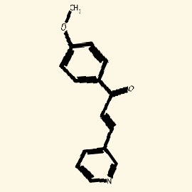 COc1ccc(C(=O)C=Cc2cccnc2)cc1